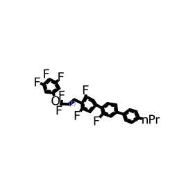 CCCc1ccc(-c2ccc(-c3cc(F)c(/C=C/C(F)(F)Oc4cc(F)c(F)c(F)c4)c(F)c3)c(F)c2)cc1